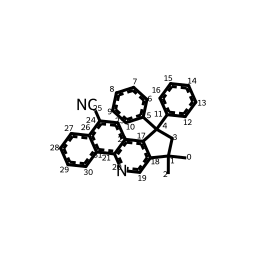 CC1(C)CC(c2ccccc2)(c2ccccc2)c2c1cnc1c2cc(C#N)c2ccccc21